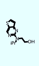 CC(C)N(CCO)c1ncc2sccc2n1